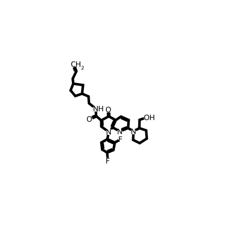 C=CCC1CCC(CCNC(=O)c2cn(-c3ccc(F)cc3F)c3nc(N4CCCCC4CO)ccc3c2=O)C1